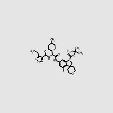 CCc1nonc1C(=O)N[C@H](C(=O)Nc1cc(F)c2c(c1)N(C(=O)OC(C)(C)C)CC21CCOCC1)[C@H]1CC[C@H](C)CC1